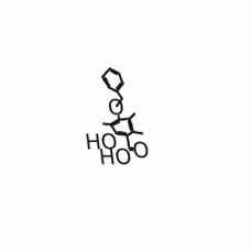 Cc1c(C)c(C(=O)O)c(O)c(C)c1OCc1ccccc1